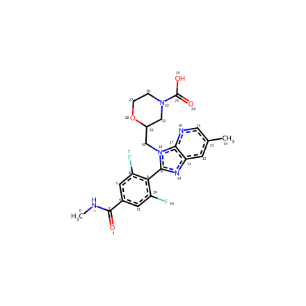 CNC(=O)c1cc(F)c(-c2nc3cc(C)cnc3n2CC2CN(C(=O)O)CCO2)c(F)c1